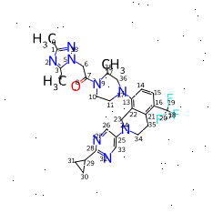 Cc1nc(C)n(CC(=O)N2CCN(c3ccc(C(F)(F)F)c4c3CN(c3cnc(C5CC5)nc3)CC4)C[C@H]2C)n1